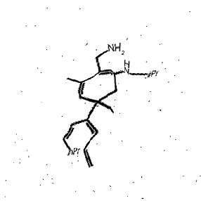 C=C/C=C(\C=C/CCC)C1(C)C=C(C)C(CN)=C(NC(C)C)C1